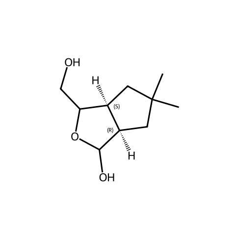 CC1(C)C[C@@H]2C(CO)OC(O)[C@@H]2C1